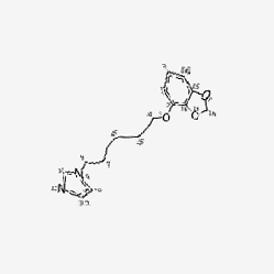 c1cc(OCCCCCn2ccnc2)c2c(c1)OCO2